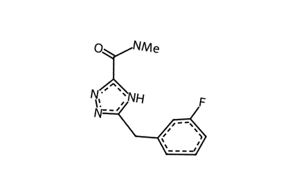 CNC(=O)c1nnc(Cc2cccc(F)c2)[nH]1